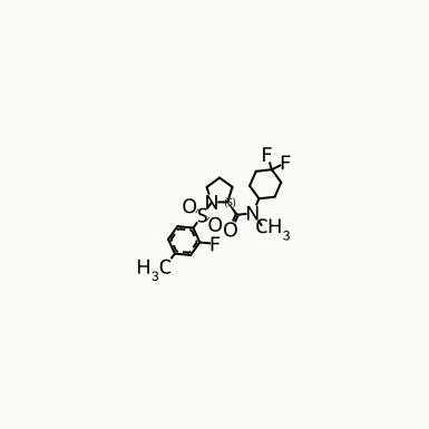 Cc1ccc(S(=O)(=O)N2CCC[C@H]2C(=O)N(C)C2CCC(F)(F)CC2)c(F)c1